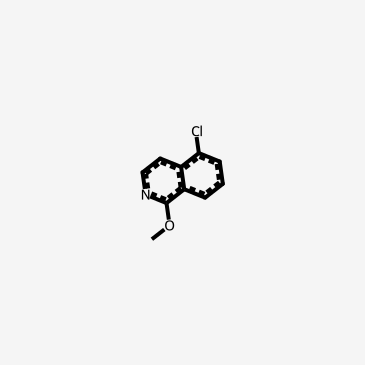 COc1nccc2c(Cl)cccc12